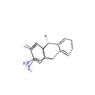 CC1=CC2C(C=C1N)C1c3ccccc3[C@H]2c2cc(C)c(N)cc21